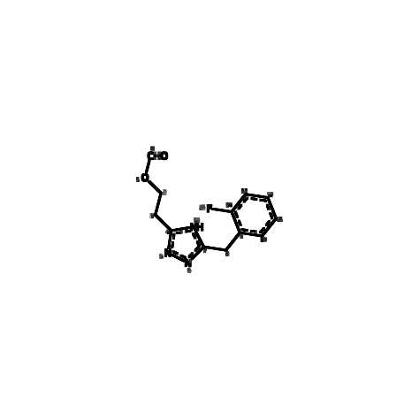 O=COCCc1nnc(Cc2ccccc2F)[nH]1